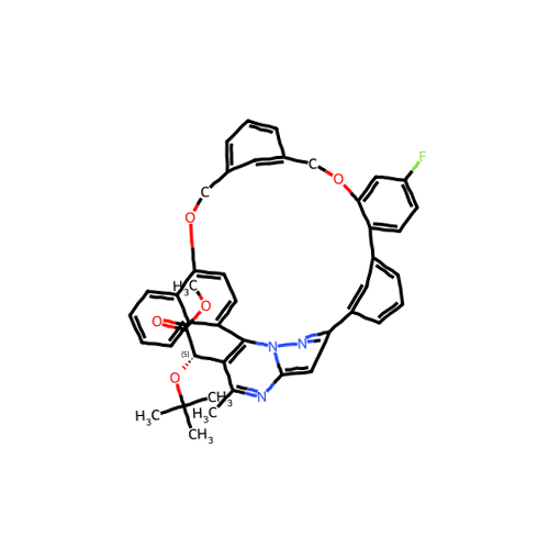 COC(=O)[C@@H](OC(C)(C)C)c1c(C)nc2cc3nn2c1-c1ccc(c2ccccc12)OCc1cccc(c1)COc1cc(F)ccc1-c1cccc-3c1